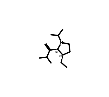 C=C(C(C)C)[C@@H]1[C@H](CC)CCN1C(C)C